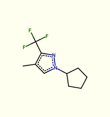 Cc1cn(C2CCCC2)nc1C(F)(F)F